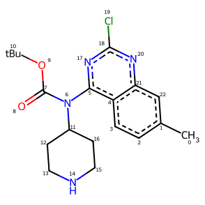 Cc1ccc2c(N(C(=O)OC(C)(C)C)C3CCNCC3)nc(Cl)nc2c1